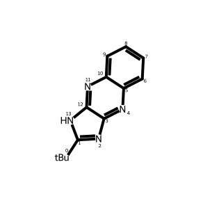 CC(C)(C)c1nc2nc3ccccc3nc2[nH]1